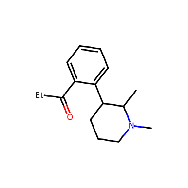 CCC(=O)c1ccccc1C1CCCN(C)C1C